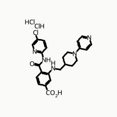 Cl.Cl.O=C(O)c1ccc(C(=O)Nc2ccc(Cl)cn2)c(NCC2CCN(c3ccncc3)CC2)c1